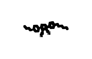 CCCCCCc1ccc(-c2ccc([C@H]3CC[C@H](CCCC)CC3)c(C#N)c2C#N)cc1